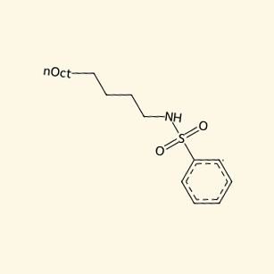 CCCCCCCCCCCCNS(=O)(=O)c1[c]cccc1